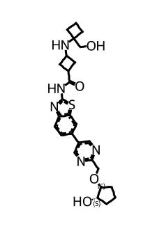 O=C(Nc1nc2ccc(-c3cnc(CO[C@H]4CCC[C@@H]4O)nc3)cc2s1)C1CC(NC2(CO)CCC2)C1